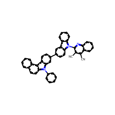 N#Cc1c(-n2c3ccccc3c3cc(-c4ccc5c6c7ccccc7ccc6n(-c6ccccc6)c5c4)ccc32)nc2ccccc2c1C#N